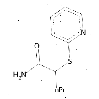 CCCC(Sc1ccccn1)C(N)=O